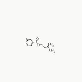 CN(C)CCOC(=O)c1cccnc1